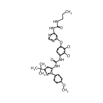 CCCNC(=O)Nc1cc(Oc2ccc(NC(=O)Nc3cc(C(C)(C)C)nn3-c3ccc(OC)cc3)c(Cl)c2Cl)ncn1